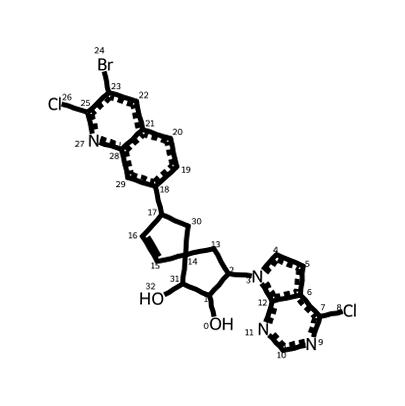 OC1C(n2ccc3c(Cl)ncnc32)CC2(C=CC(c3ccc4cc(Br)c(Cl)nc4c3)C2)C1O